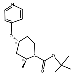 C[C@H]1C[C@H](Oc2ccncc2)CCN1C(=O)OC(C)(C)C